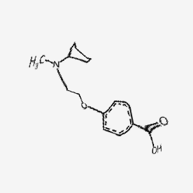 CN(CCOc1ccc(C(=O)O)cc1)C1CC1